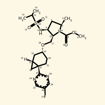 COC(=O)N1[C@H](C)C[C@H](NS(=O)(=O)C(C)C)[C@@H]1CO[C@@H]1CC[C@]2(c3ncc(F)cn3)C[C@@H]2C1